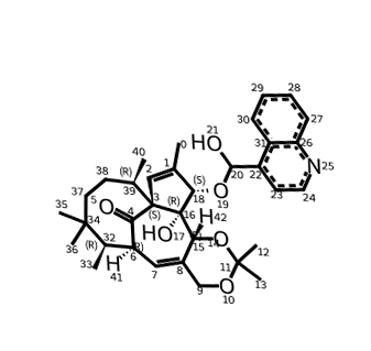 CC1=C[C@]23C(=O)[C@@H](C=C4COC(C)(C)O[C@H]4[C@]2(O)[C@H]1OC(O)c1ccnc2ccccc12)[C@@H](C)C(C)(C)CC[C@H]3C